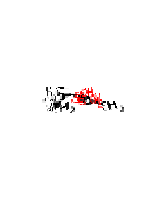 CCOC(=O)COc1ccc2oc(=O)c(OCC=C(C)CCC=C(C)C)c(O)c2c1